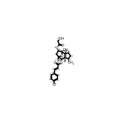 CC(C)C12C[C@@H](OC(=O)CO)[C@@](C)(O1)[C@@H]1CC[C@@H](C)[C@H]1[C@@H]2OC(=O)/C=C/c1ccc(Cl)cc1